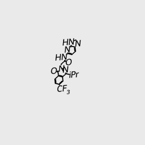 CC(C)c1nn(CC(=O)Nc2ccc3nc[nH]c3n2)c(=O)c2ccc(C(F)(F)F)cc12